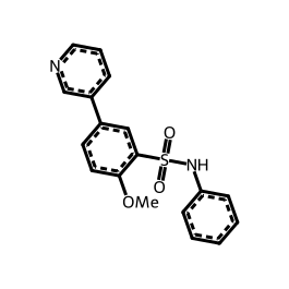 COc1ccc(-c2cccnc2)cc1S(=O)(=O)Nc1ccccc1